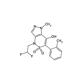 Cc1ccccc1C1=C(O)c2c(cnn2C)N(CC(F)F)S1(=O)=O